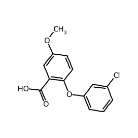 COc1ccc(Oc2cccc(Cl)c2)c(C(=O)O)c1